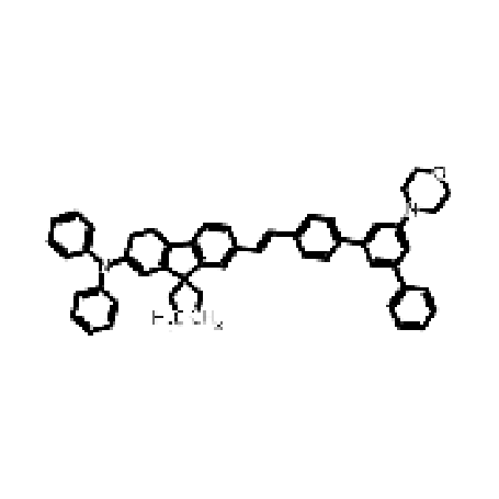 CCC1(CC)C2=C(CCC(N(c3ccccc3)c3ccccc3)=C2)c2ccc(/C=C/c3ccc(-c4cc(-c5ccccc5)cc(N5CCOCC5)c4)cc3)cc21